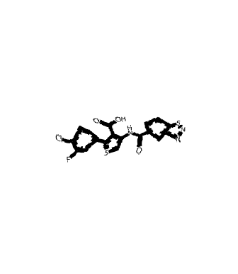 O=C(Nc1csc(-c2ccc(Cl)c(F)c2)c1C(=O)O)c1ccc2snnc2c1